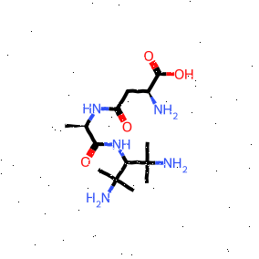 C[C@@H](NC(=O)C[C@H](N)C(=O)O)C(=O)NC(C(C)(C)N)C(C)(C)N